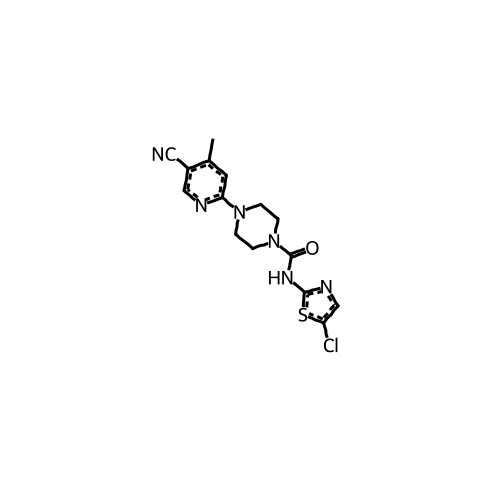 Cc1cc(N2CCN(C(=O)Nc3ncc(Cl)s3)CC2)ncc1C#N